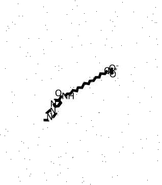 CCN1CCN(c2ccc(C(=O)NCCCCCCCCCCCCCCO[N+](=O)[O-])cn2)CC1